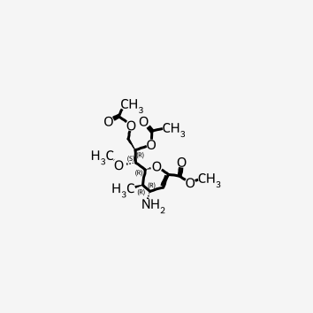 COC(=O)C1=C[C@H](N)[C@@H](C)[C@H]([C@H](OC)[C@@H](COC(C)=O)OC(C)=O)O1